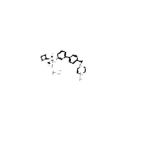 Cl.O=C(c1ccc(-c2cccc(NS(=O)(=O)C3CCC3)c2)cc1)N1CCNCC1